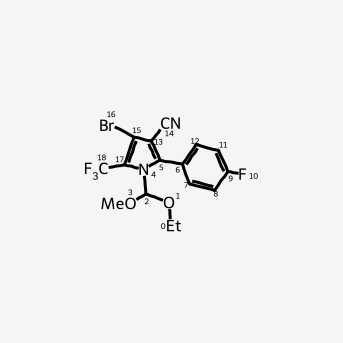 CCOC(OC)n1c(-c2ccc(F)cc2)c(C#N)c(Br)c1C(F)(F)F